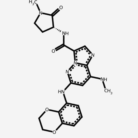 CNc1cc(Nc2cccc3c2OCCO3)nn2c(C(=O)N[C@@H]3CCN(C)C3=O)cnc12